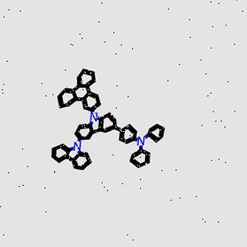 c1ccc(N(c2ccccc2)c2ccc(-c3ccc4c(c3)c3cc(-n5c6ccccc6c6ccccc65)ccc3n4-c3ccc4c5ccccc5c5ccccc5c4c3)cc2)cc1